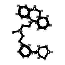 CN(CCc1cccc(N2CCOCC2)c1)CCN1c2ccccc2COc2ccccc21